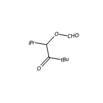 CC(C)C(O[C]=O)C(=O)C(C)(C)C